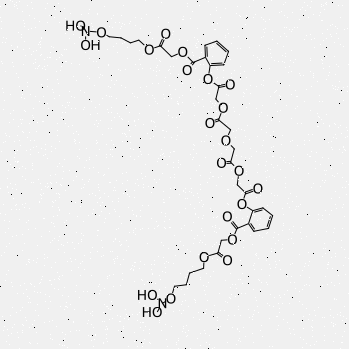 O=C(COCC(=O)OCC(=O)Oc1ccccc1C(=O)OCC(=O)OCCCCON(O)O)OCC(=O)Oc1ccccc1C(=O)OCC(=O)OCCCCON(O)O